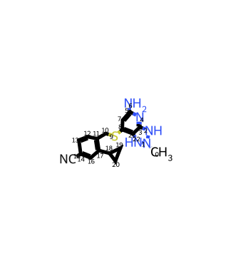 CN1Nc2nc(N)cc(SCc3ccc(C#N)cc3C3CC3)c2N1